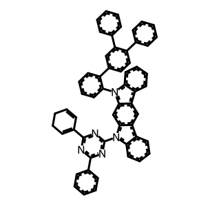 C1=CC(c2nc(-c3ccccc3)nc(-n3c4ccccc4c4cc5c6ccccc6n(-c6ccccc6-c6ccc(-c7ccccc7)c(-c7ccccc7)c6)c5cc43)n2)=CCC1